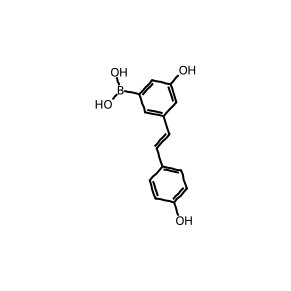 OB(O)c1cc(O)cc(C=Cc2ccc(O)cc2)c1